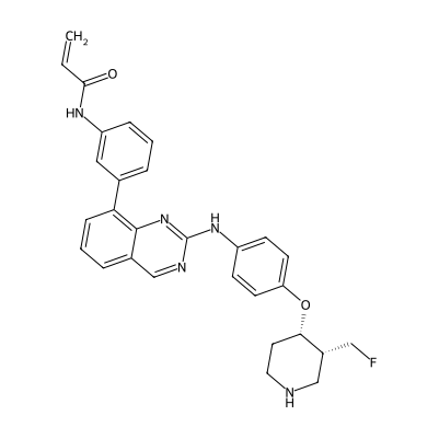 C=CC(=O)Nc1cccc(-c2cccc3cnc(Nc4ccc(O[C@H]5CCNC[C@H]5CF)cc4)nc23)c1